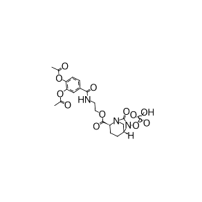 CC(=O)Oc1ccc(C(=O)NCCOC(=O)[C@@H]2CC[C@@H]3CN2C(=O)N3OS(=O)(=O)O)cc1OC(C)=O